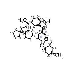 C=C(NCC1(N2CCCCC2)CCCC1)C1C=c2c(C(/C=C\COC3CCN(C)CC3)=C/C)n[nH]c2=CC1